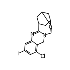 Clc1cc(I)cc2c1CN1C(=N2)C2CC3CC(C2)CC1C3